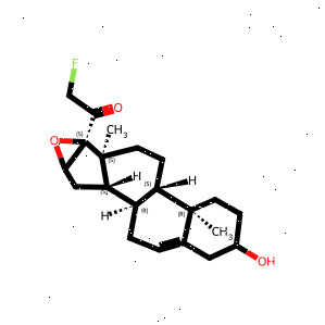 C[C@]12CCC(O)CC1=CC[C@@H]1[C@@H]2CC[C@@]2(C)[C@H]1CC1O[C@]12C(=O)CF